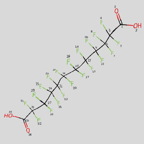 O=C(O)C(F)(F)C(F)(F)C(F)(F)C(F)(F)C(F)(F)C(F)(F)C(F)(F)C(F)(F)C(F)(F)C(F)(F)C(=O)O